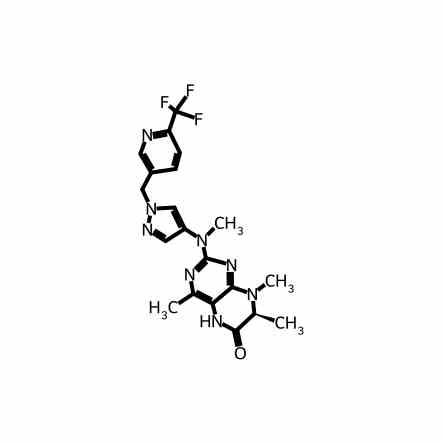 Cc1nc(N(C)c2cnn(Cc3ccc(C(F)(F)F)nc3)c2)nc2c1NC(=O)[C@H](C)N2C